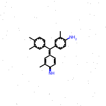 CC1=C/C(=C(\c2ccc(C)c(C)c2)c2ccc(N)c(C)c2)C=CC1=N